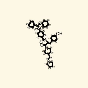 O=C(NC(Cc1ccc(O)cc1)C(=O)N1CCC(CCN2CCCC2)CC1)c1ccc(S(=O)(=O)N(Oc2ccccc2)c2ccccc2)cc1